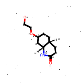 [O]CCOC1CC[C@@H]2CCC(=O)N[C@@H]2C1